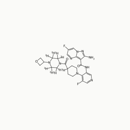 [2H]C1(C(=O)N2C([2H])([2H])C([2H])([2H])N(C3COC3)C([2H])([2H])C2([2H])[2H])CCN(c2c(F)cncc2NC(=O)c2c(N)nn3cc(F)cnc23)CC1